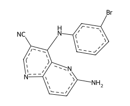 N#Cc1cnc2ccc(N)nc2c1Nc1cccc(Br)c1